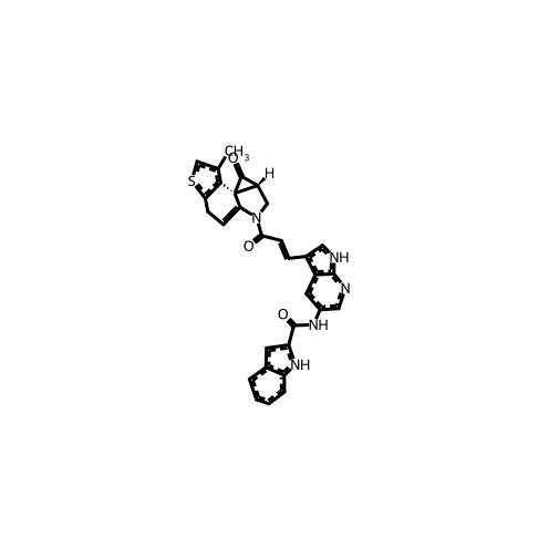 Cc1csc2c1[C@]13C(=O)[C@@H]1CN(C(=O)C=Cc1c[nH]c4ncc(NC(=O)c5cc6ccccc6[nH]5)cc14)C3=CC2